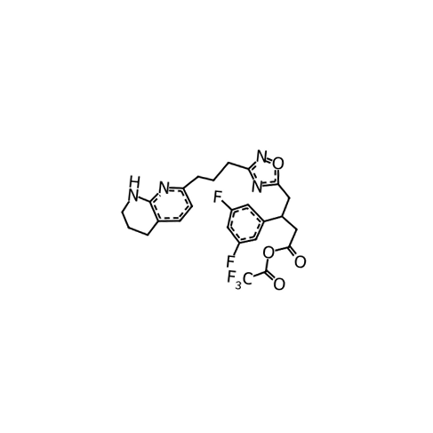 O=C(CC(Cc1nc(CCCc2ccc3c(n2)NCCC3)no1)c1cc(F)cc(F)c1)OC(=O)C(F)(F)F